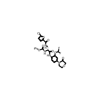 CC(C)OC(=O)N[C@H](CNC(=O)c1ccc(Cl)s1)C(=O)Nc1ccc(N2CCOCC2=O)cc1OC(F)F